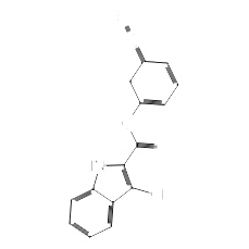 Cc1c(C(=O)OC2=CC=CC(=C=O)C2)[nH]c2ccccc12